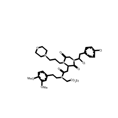 CCOC(=O)CN(CCc1ccc(OC)c(OC)c1)C(=O)CC1C(=O)N(C(Cl)Cc2ccc(Cl)cc2)CC(=O)N1CCCN1CCOCC1